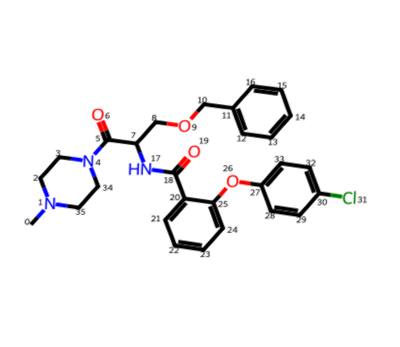 CN1CCN(C(=O)C(COCc2ccccc2)NC(=O)c2ccccc2Oc2ccc(Cl)cc2)CC1